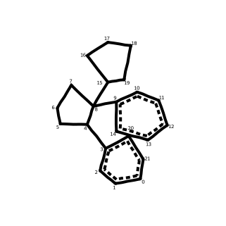 c1ccc(C2CCCC2(c2ccccc2)C2CCCC2)cc1